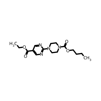 CCCCOC(=O)N1CCN(c2ncc(C(=O)OCC)cn2)CC1